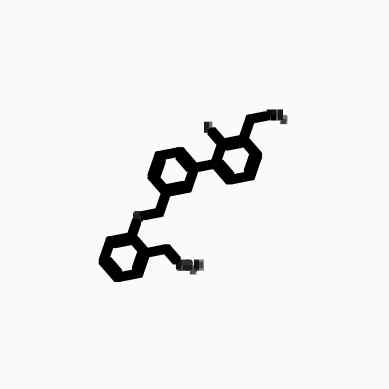 NCc1cccc(-c2cccc(COc3ccccc3CC(=O)O)c2)c1F